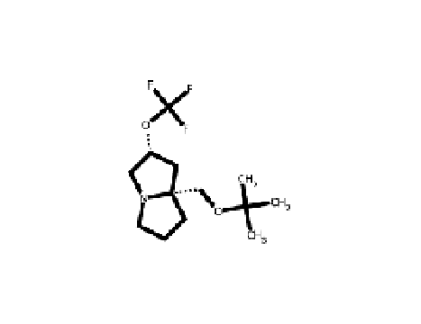 CC(C)(C)OC[C@]12CCCN1C[C@H](OC(F)(F)F)C2